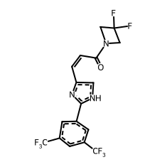 O=C(/C=C\c1c[nH]c(-c2cc(C(F)(F)F)cc(C(F)(F)F)c2)n1)N1CC(F)(F)C1